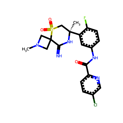 CN1CC2(C1)C(=N)N[C@](C)(c1cc(NC(=O)c3ccc(Cl)cn3)ccc1F)CS2(=O)=O